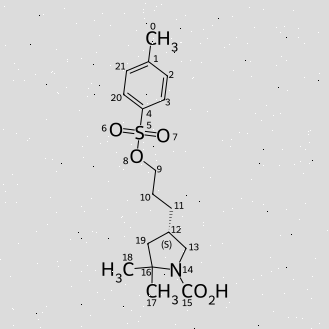 Cc1ccc(S(=O)(=O)OCCC[C@@H]2CN(C(=O)O)C(C)(C)C2)cc1